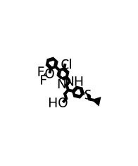 OCCC(c1ccc(SCC2CC2)cc1)c1nc2cc(-c3ccccc3OC(F)F)c(Cl)cc2[nH]1